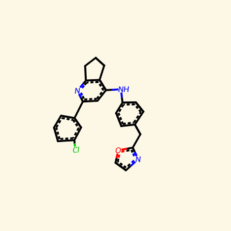 Clc1cccc(-c2cc(Nc3ccc(Cc4ncco4)cc3)c3c(n2)CCC3)c1